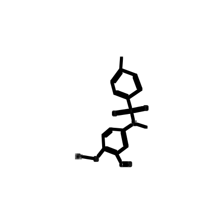 Cc1ccc(S(=O)(=O)N(C)c2ccc(OC(C)C)c(C=O)c2)cc1